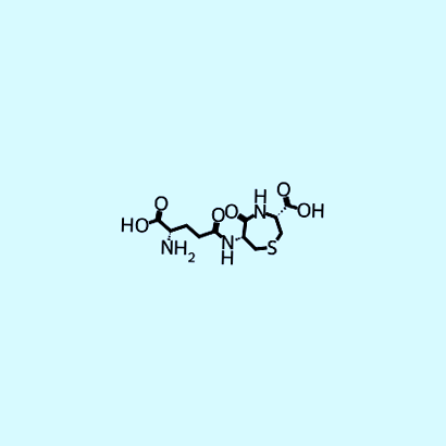 N[C@@H](CCC(=O)N[C@H]1CSC[C@@H](C(=O)O)NC1=O)C(=O)O